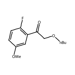 CCCCOCC(=O)c1cc(OC)ccc1F